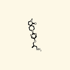 C=C(CN)COc1cnc(N2CCC3(CCN(C)C3=O)CC2)nc1